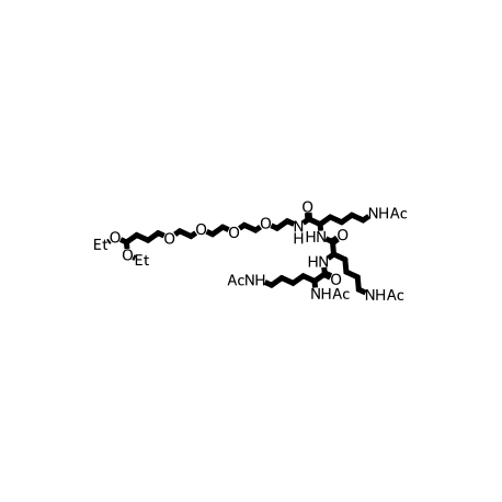 CCOC(CCCOCCOCCOCCOCCNC(=O)C(CCCCNC(C)=O)NC(=O)C(CCCCNC(C)=O)NC(=O)C(CCCCNC(C)=O)NC(C)=O)OCC